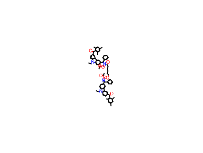 CCn1c2ccc(C(=O)c3c(C)cc(C)cc3C)cc2c2cc(C(=NOC(C)=O)c3ccccc3OCCCCCCOc3ccccc3C(=NOC(C)=O)c3ccc4c(c3)c3cc(C(=O)c5c(C)cc(C)cc5C)ccc3n4CC)ccc21